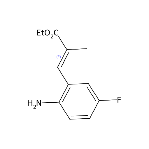 CCOC(=O)/C(C)=C/c1cc(F)ccc1N